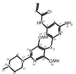 C=CC(=O)Nc1cc(N)nc(Sc2c(OC)nc(N3CCN(C)CC3)nc2OC)c1